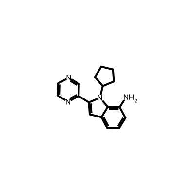 Nc1cccc2cc(-c3cnccn3)n(C3CCCC3)c12